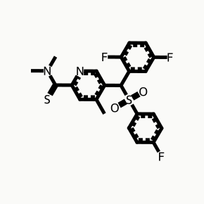 Cc1cc(C(=S)N(C)C)ncc1C(c1cc(F)ccc1F)S(=O)(=O)c1ccc(F)cc1